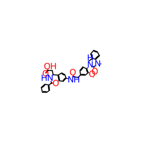 COc1cc(CC(=O)Nc2ccc(C(CC(=O)O)NC(=O)c3ccccc3)cc2)ccc1NC(=O)N(C)c1ccccc1C